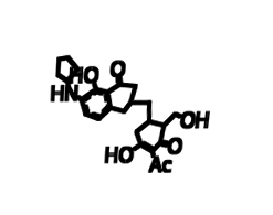 CC(=O)C1=C(O)CC(CC2CC(=O)c3c(ccc(NC4CCCC4)c3O)C2)C(CO)C1=O